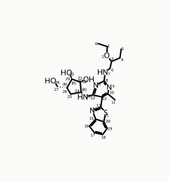 CCOC(CC)CNc1nc(C)c(-c2nc3ccccc3s2)c(N[C@@H]2C[C@H](CO)[C@@H](O)[C@H]2O)n1